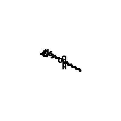 CCCCCCCCNC(=O)OCCCSSc1ccc(C)cn1